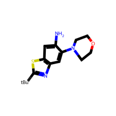 CC(C)(C)c1nc2cc(N3CCOCC3)c(N)cc2s1